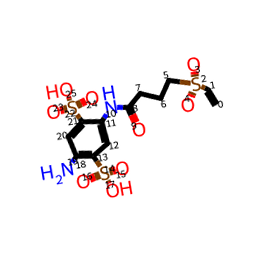 C=CS(=O)(=O)CCCC(=O)Nc1cc(S(=O)(=O)O)c(N)cc1S(=O)(=O)O